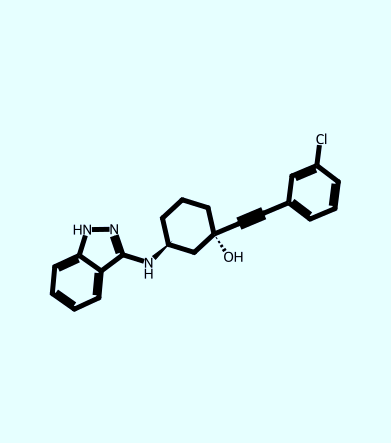 O[C@@]1(C#Cc2cccc(Cl)c2)CCC[C@H](Nc2n[nH]c3ccccc23)C1